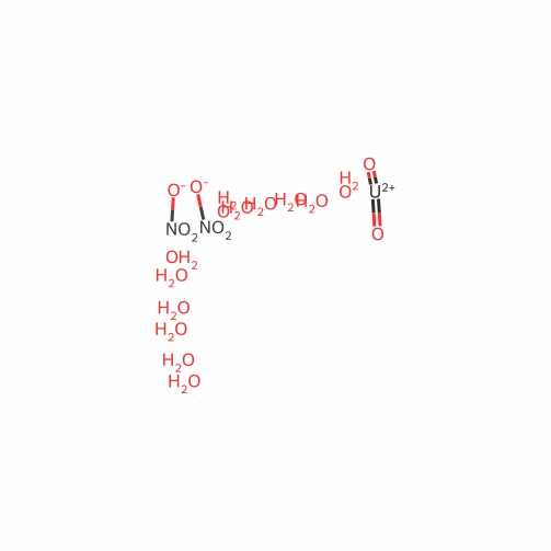 O.O.O.O.O.O.O.O.O.O.O.O.O=[N+]([O-])[O-].O=[N+]([O-])[O-].[O]=[U+2]=[O]